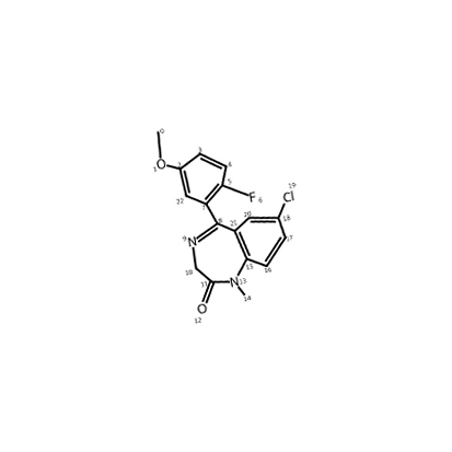 COc1ccc(F)c(C2=NCC(=O)N(C)c3ccc(Cl)cc32)c1